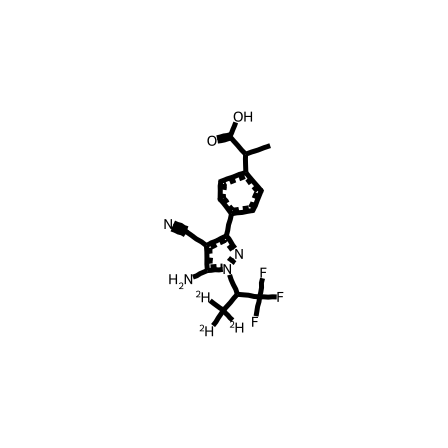 [2H]C([2H])([2H])C(n1nc(-c2ccc(C(C)C(=O)O)cc2)c(C#N)c1N)C(F)(F)F